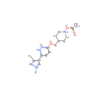 Cc1nn(C)cc1-c1ccc(OCC2CCN(OC(=O)C(F)(F)F)CC2)nn1